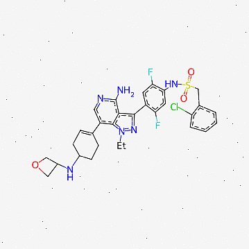 CCn1nc(-c2cc(F)c(NS(=O)(=O)Cc3ccccc3Cl)cc2F)c2c(N)ncc(C3=CCC(NC4COC4)CC3)c21